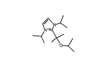 CC(C)OC(C)(C)c1n(C(C)C)cc[n+]1C(C)C